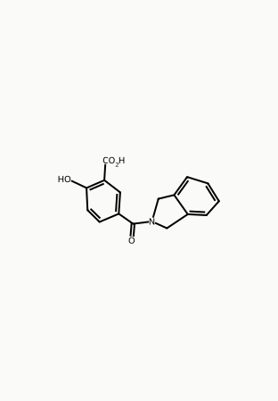 O=C(O)c1cc(C(=O)N2Cc3ccccc3C2)ccc1O